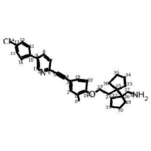 Cc1cc(C#Cc2ccc(-c3ccc(Cl)cc3)cn2)ccc1OCCC1(C2(CN)CCCC2)CCCC1